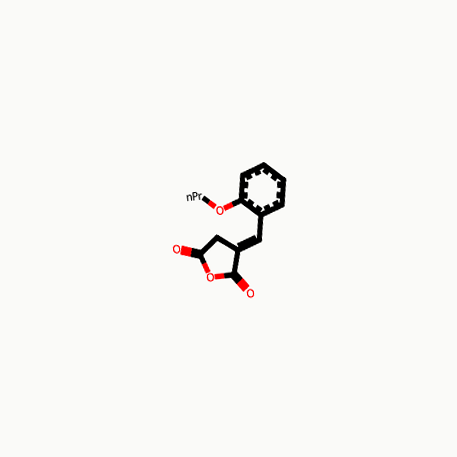 CCCOc1ccccc1/C=C1\CC(=O)OC1=O